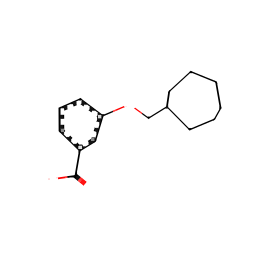 O=C(O)c1cccc(OCC2CCCCCC2)c1